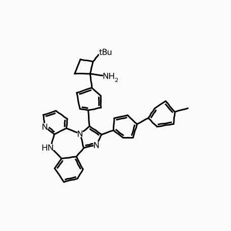 Cc1ccc(-c2ccc(-c3nc4n(c3-c3ccc(C5(N)CCC5C(C)(C)C)cc3)-c3cccnc3Nc3ccccc3-4)cc2)cc1